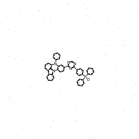 O=P(c1ccccc1)(c1ccccc1)c1ccc(-c2ncnc(-c3ccc4c(c3)N(c3ccccc3)c3cccc5c6ccccc6n-4c35)n2)cc1